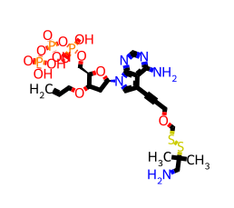 C=CCOC1C[C@H](n2cc(C#CCOCSSC(C)(C)CN)c3c(N)ncnc32)O[C@@H]1COP(=O)(O)OP(=O)(O)OP(=O)(O)O